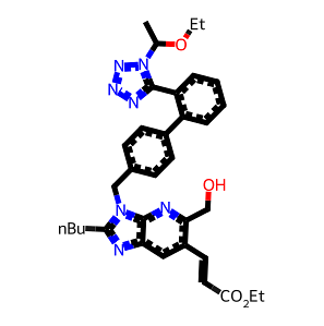 CCCCc1nc2cc(C=CC(=O)OCC)c(CO)nc2n1Cc1ccc(-c2ccccc2-c2nnnn2C(C)OCC)cc1